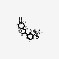 CNS(=O)(=O)c1cccc(C2COC3(CCNCC3)C2)c1N